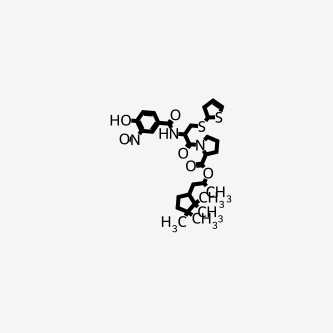 CC(CC1CCC(C)(C)C1(C)C)OC(=O)C1CCCN1C(=O)C(CSC1CC=CS1)NC(=O)c1ccc(O)c(N=O)c1